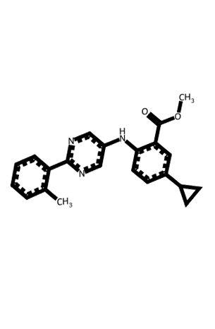 COC(=O)c1cc(C2CC2)ccc1Nc1cnc(-c2ccccc2C)nc1